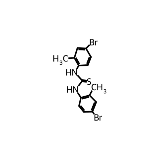 Cc1cc(Br)ccc1NC(=S)Nc1ccc(Br)cc1C